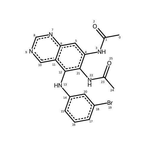 CC(=O)Nc1cc2ncncc2c(Nc2cccc(Br)c2)c1NC(C)=O